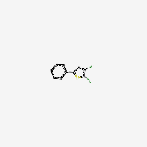 Clc1cc(-c2ccccc2)sc1Cl